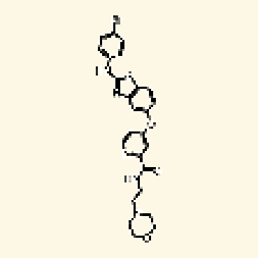 O=C(NCCN1CCOCC1)c1cc(Oc2ccc3sc(Nc4ccc(Br)cc4)nc3c2)ccn1